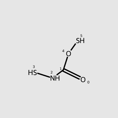 O=C(NS)OS